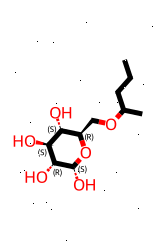 CCCC(C)OC[C@H]1O[C@H](O)[C@H](O)[C@@H](O)[C@@H]1O